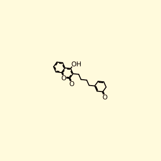 O=C1C=C(CCCCc2c(O)c3ccccc3oc2=O)C=CC1